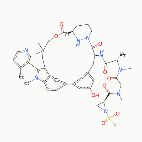 CCc1ccncc1-c1c2c3cc(ccc3n1CC)-c1cc(O)cc(c1)C[C@H](NC(=O)[C@H](C(C)C)N(C)C(=O)CN(C)C(=O)[C@@H]1CN1S(C)(=O)=O)C(=O)N1CCC[C@H](N1)C(=O)OCC(C)(C)C2